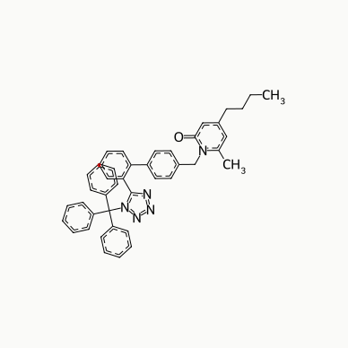 CCCCc1cc(C)n(Cc2ccc(-c3ccccc3-c3nnnn3C(c3ccccc3)(c3ccccc3)c3ccccc3)cc2)c(=O)c1